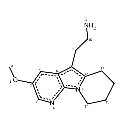 COc1cnc2c(c1)c(CCN)c1n2CCCC1